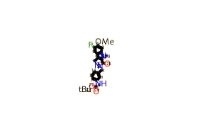 COc1cc2c(cc1F)c1cnn(Cc3cccc(NC(=O)OC(C)(C)C)c3)c(=O)c1n2C